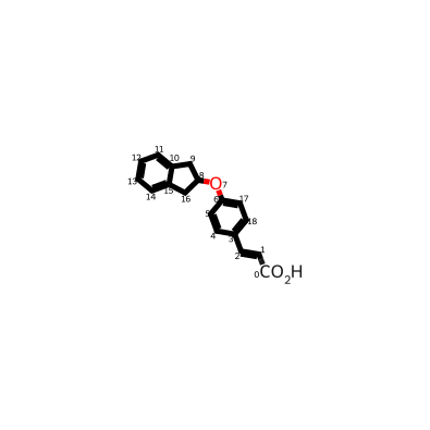 O=C(O)/C=C/c1ccc(OC2Cc3ccccc3C2)cc1